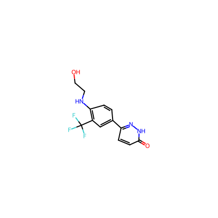 O=c1ccc(-c2ccc(NCCO)c(C(F)(F)F)c2)n[nH]1